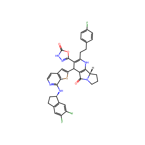 O=C1C2=C(NC(CCc3ccc(F)cc3)=C(c3n[nH]c(=O)o3)C2c2cc3ccnc(N[C@@H]4CCc5cc(F)c(F)cc54)c3s2)[C@@H]2CCCN12